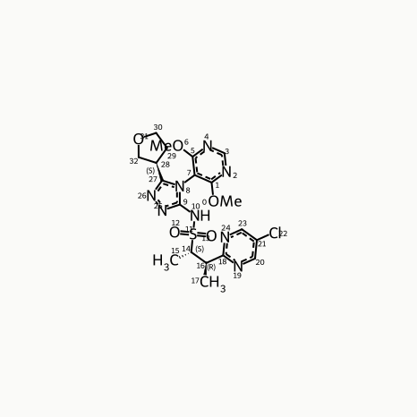 COc1ncnc(OC)c1-n1c(NS(=O)(=O)[C@@H](C)[C@H](C)c2ncc(Cl)cn2)nnc1[C@@H]1CCOC1